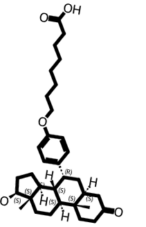 C[C@]12CCC(=O)C[C@@H]1C[C@@H](c1ccc(OCCCCCCCC(=O)O)cc1)[C@@H]1[C@@H]2CC[C@]2(C)[C@@H](O)CC[C@@H]12